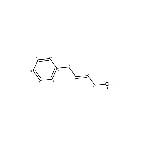 [CH2]CC=CCc1ccccc1